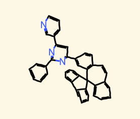 C1=Cc2ccc(-c3cc(-c4cccnc4)nc(-c4ccccc4)n3)cc2C2(c3ccccc31)c1ccccc1-c1ccccc12